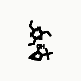 CC(C)(C)c1cc2cc-2c1O.CCc1nc(CC)nc(CC)n1